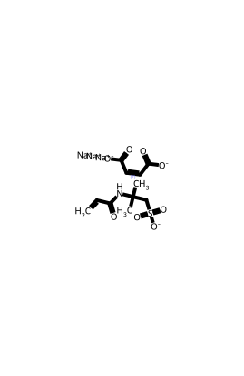 C=CC(=O)NC(C)(C)CS(=O)(=O)[O-].O=C([O-])/C=C\C(=O)[O-].[Na+].[Na+].[Na+]